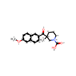 COc1ccc2cc(C(=O)C3(C)CCCN(C(=O)O)C3)ccc2c1